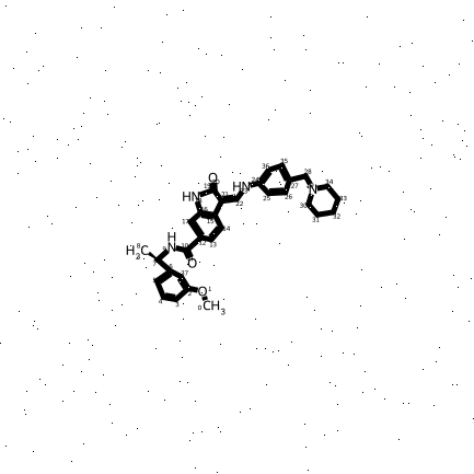 COc1cccc([C@@H](C)NC(=O)c2ccc3c(c2)NC(=O)C3=CNc2ccc(CN3CCCCC3)cc2)c1